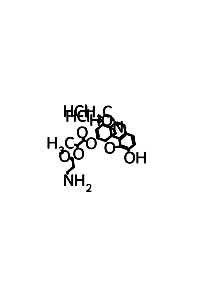 CC(OC(=O)CCN)C(=O)OC1=CCC2(O)C3Cc4ccc(O)c5c4C2(CCN3C)C1O5.Cl.Cl